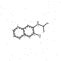 CC(C)Nc1cc2ncccc2cc1Cl